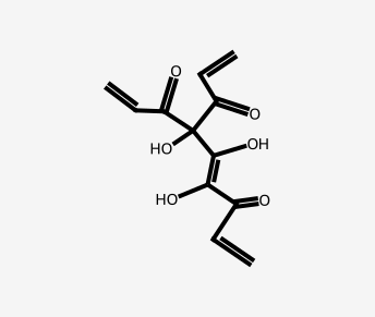 C=CC(=O)C(O)=C(O)C(O)(C(=O)C=C)C(=O)C=C